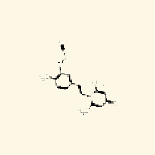 C#CCOc1cc(/C=C/n2c(C)cc(=O)cc2C)ccc1C